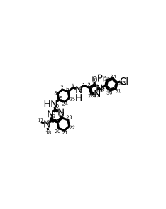 CCCc1c(CNCC2CCC(Nc3nc4c(c(N(C)C)n3)CCCC4)CC2)cnn1-c1ccc(Cl)cc1